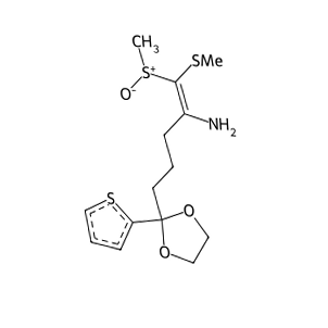 CSC(=C(N)CCCC1(c2cccs2)OCCO1)[S+](C)[O-]